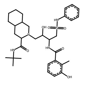 Cc1c(O)cccc1C(=O)NC(CS(=O)(=O)Nc1ccccc1)C(O)CN1CC2CCCCC2CC1C(=O)NC(C)(C)C